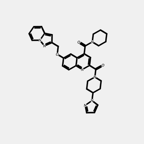 O=C(c1cc(C(=O)N2CCCCC2)c2cc(OCc3cc4ccccn4n3)ccc2n1)N1CCC(n2cccn2)CC1